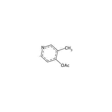 CC(=O)Oc1c[c]ncc1C